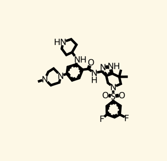 CN1CCN(c2ccc(C(=O)Nc3n[nH]c4c3CN(S(=O)(=O)c3cc(F)cc(F)c3)CC4(C)C)c(NC3CCNCC3)c2)CC1